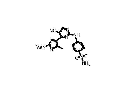 CNc1nc(C)c(-c2nc(Nc3ccc(S(N)(=O)=O)cc3)ncc2C#N)s1